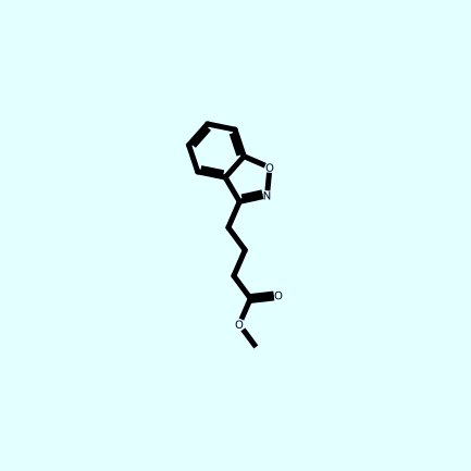 COC(=O)CCCc1noc2ccccc12